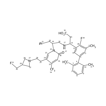 Cc1cc(-c2c(C)cccc2C)cc(C(CC(=O)O)NCC(CC(C)C)n2cc(CCN3CC(CF)C3)c(C(F)(F)F)cc2=O)c1F